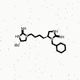 CCC(C)[C@H]1CN(CCCC[C@H]2CNC(=N)N2CC2CCCCC2)C(=N)N1